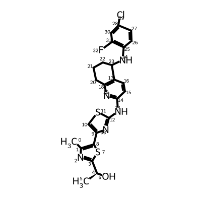 Cc1nc([C@H](C)O)sc1-c1csc(Nc2ccc3c(n2)CCCC3Nc2ccc(Cl)cc2F)n1